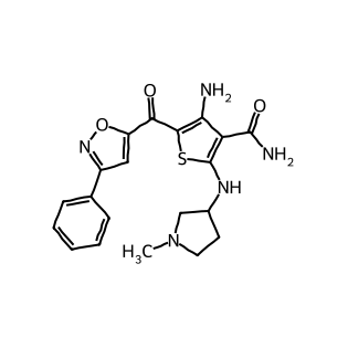 CN1CCC(Nc2sc(C(=O)c3cc(-c4ccccc4)no3)c(N)c2C(N)=O)C1